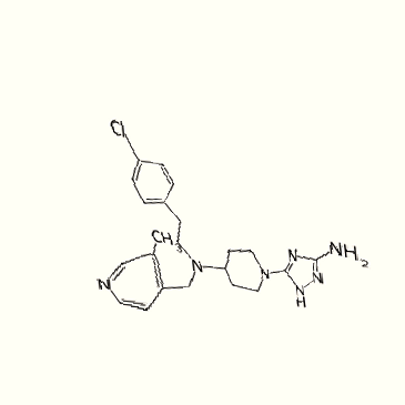 Cc1cnccc1CN(CCc1ccc(Cl)cc1)C1CCN(c2nc(N)n[nH]2)CC1